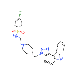 CCOC(=O)c1[nH]c2ccccc2c1-c1cn(CC2CCN(CCNS(=O)(=O)c3ccc(Cl)cc3)CC2)nn1